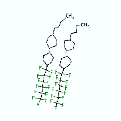 CCCCC[C@H]1CC[C@H](C2CCC(C(F)(F)C(F)(F)C(F)(F)C(F)(F)C(F)(F)C(F)(F)F)CC2)CC1.CCCC[C@H]1CC[C@H](C2CCC(C(F)(F)C(F)(F)C(F)(F)C(F)(F)C(F)(F)C(F)(F)F)CC2)CC1